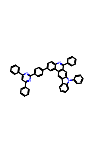 c1ccc(-c2cc(-c3ccccc3)nc(-c3ccc(-c4ccc5nc(-c6ccccc6)c6cc7c(cc6c5c4)c4ccccc4n7-c4ccccc4)cc3)n2)cc1